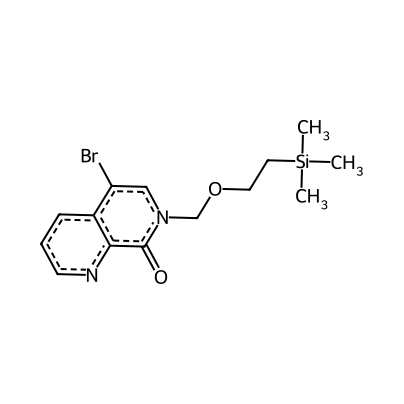 C[Si](C)(C)CCOCn1cc(Br)c2cccnc2c1=O